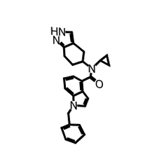 O=C(c1cccc2c1ccn2Cc1ccccc1)N(C1CC1)C1CCc2n[nH]cc2C1